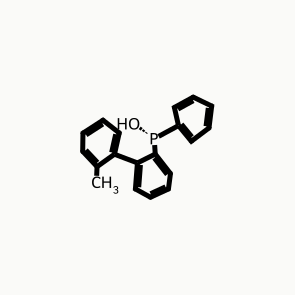 Cc1ccccc1-c1ccccc1[P@](O)c1ccccc1